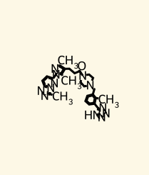 Cc1nn(-c2ccc3nnc(C)n3n2)c(C)c1CCC(=O)N1CCN(Cc2cccc(-c3nnn[nH]3)c2C)CC1